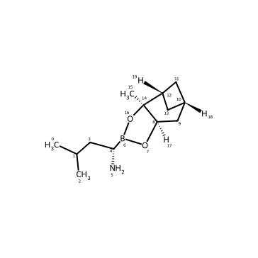 CC(C)C[C@@H](N)B1O[C@@H]2C[C@H]3C[C@H](C3)[C@]2(C)O1